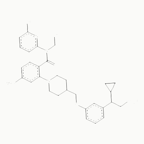 COc1ccc(C(=O)N(CC(C)C)c2cccc(C)n2)c(N2CCC(COc3cccc(C(CC(=O)O)C4CC4)c3)CC2)c1